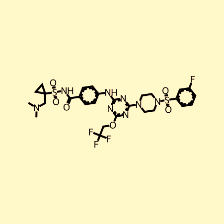 CN(C)CC1(S(=O)(=O)NC(=O)c2ccc(Nc3nc(OCC(F)(F)F)nc(N4CCN(S(=O)(=O)c5cccc(F)c5)CC4)n3)cc2)CC1